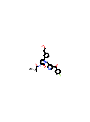 CN[C@@H](C)C(=O)Nc1ccc(-c2cccc(CCO)c2)n(Cc2cncc(C(=O)c3ccc(F)cc3)c2)c1=O